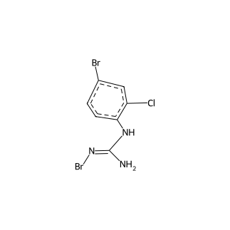 NC(=NBr)Nc1ccc(Br)cc1Cl